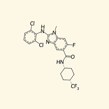 Cn1c(Nc2c(Cl)cccc2Cl)nc2cc(C(=O)N[C@H]3CC[C@@H](C(F)(F)F)CC3)c(F)cc21